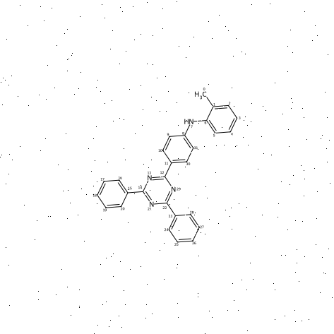 Cc1ccccc1Nc1ccc(-c2nc(-c3ccccc3)nc(-c3ccccc3)n2)cc1